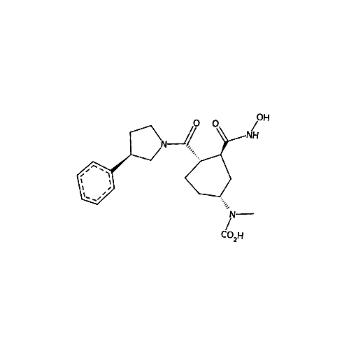 CN(C(=O)O)[C@@H]1CC[C@H](C(=O)N2CC[C@H](c3ccccc3)C2)[C@@H](C(=O)NO)C1